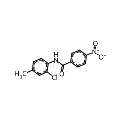 Cc1ccc(NC(=O)c2ccc([N+](=O)[O-])cc2)c(Cl)c1